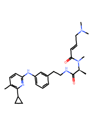 Cc1ccc(Nc2cccc(CCNC(=O)[C@H](C)N(C)C(=O)/C=C/CN(C)C)c2)nc1C1CC1